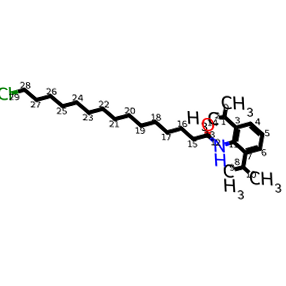 CC(C)c1cccc(C(C)C)c1NC(=O)CCCCCCCCCCCCCCCl